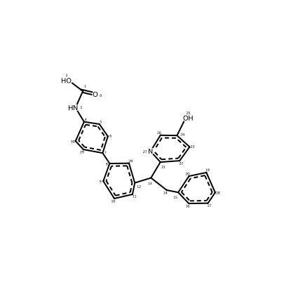 O=C(O)Nc1ccc(-c2cccc(C(Cc3ccccc3)c3ccc(O)cn3)c2)cc1